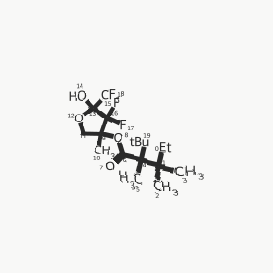 CCC(C)(C)C(C)(C(=O)OC1(C)COC(O)(C(F)(F)F)C1(F)F)C(C)(C)C